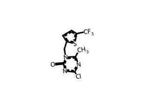 Cc1nc(Cl)nc(=O)n1Cc1ccc(C(F)(F)F)s1